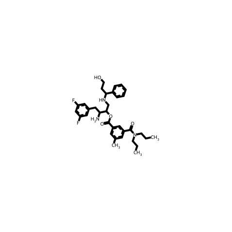 CCCN(CCC)C(=O)c1cc(C)cc(C(=O)OC(CNC(CCO)c2ccccc2)C(N)Cc2cc(F)cc(F)c2)c1